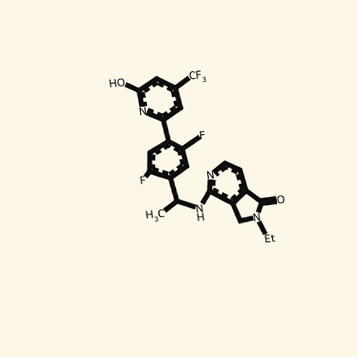 CCN1Cc2c(ccnc2NC(C)c2cc(F)c(-c3cc(C(F)(F)F)cc(O)n3)cc2F)C1=O